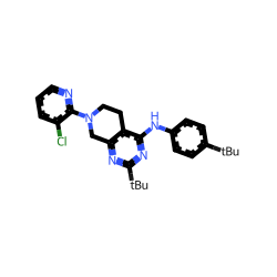 CC(C)(C)c1ccc(Nc2nc(C(C)(C)C)nc3c2CCN(c2ncccc2Cl)C3)cc1